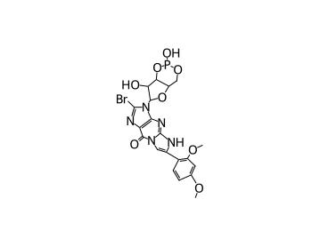 COc1ccc(-c2cn3c(=O)c4nc(Br)n(C5OC6COP(O)OC6C5O)c4nc3[nH]2)c(OC)c1